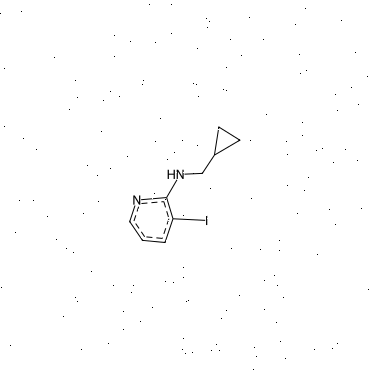 Ic1cccnc1NCC1CC1